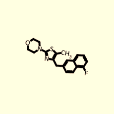 Cc1sc(N2CCOCC2)nc1Cc1ccc2c(F)cccc2c1